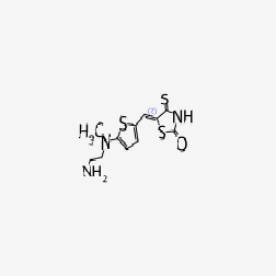 CN(CCN)c1ccc(/C=C2\SC(=O)NC2=S)s1